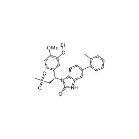 CCOc1cc([C@H](CS(C)(=O)=O)n2c(=O)[nH]c3cc(-c4ccccc4C)ccc32)ccc1OC